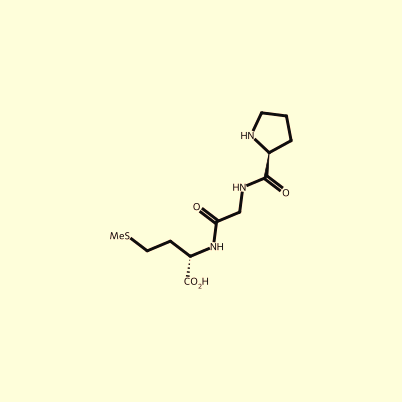 CSCC[C@H](NC(=O)CNC(=O)[C@@H]1CCCN1)C(=O)O